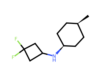 C[C@H]1CC[C@@H](NC2CC(F)(F)C2)CC1